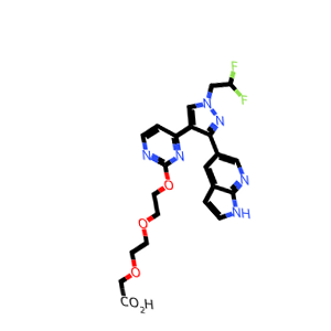 O=C(O)COCCOCCOc1nccc(-c2cn(CC(F)F)nc2-c2cnc3[nH]ccc3c2)n1